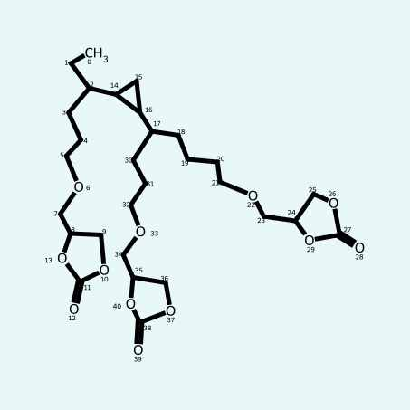 CCC(CCCOCC1COC(=O)O1)C1CC1C(CCCCOCC1COC(=O)O1)CCCOCC1COC(=O)O1